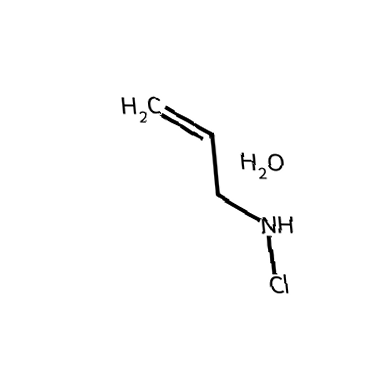 C=CCNCl.O